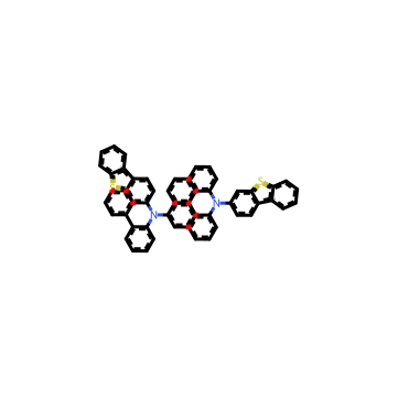 c1ccc(-c2ccccc2N(c2cccc(-c3ccccc3N(c3ccc4c(c3)sc3ccccc34)c3ccccc3-c3ccccc3)c2)c2ccc3c(c2)sc2ccccc23)cc1